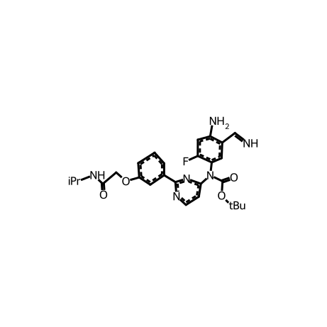 CC(C)NC(=O)COc1cccc(-c2nccc(N(C(=O)OC(C)(C)C)c3cc(C=N)c(N)cc3F)n2)c1